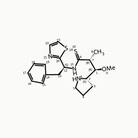 CO[C@@H]([C@@H]1CCCN1)[C@@H](C)C(=S)N[C@@H](Cc1ccccc1)c1nccs1